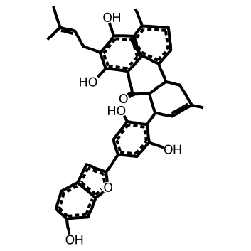 CC(C)=CCc1c(O)ccc(C(=O)C2C(c3c(O)cc(-c4cc5ccc(O)cc5o4)cc3O)C=C(C)CC2c2ccc(C)cc2)c1O